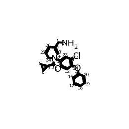 NCC1=C[N+](C(=O)C2CC2)(c2ccc(Oc3ccccc3)c(Cl)c2)CC=C1